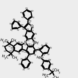 CC(C)(C)c1ccc(Nc2ccccc2-c2cc(-c3ccccc3)c3c4cc5c(cc4n4c3c2Bc2cc3oc(-c6ccccc6)c(-c6ccccc6)c3cc2-4)C(C)(C)CCC5(C)C)cc1